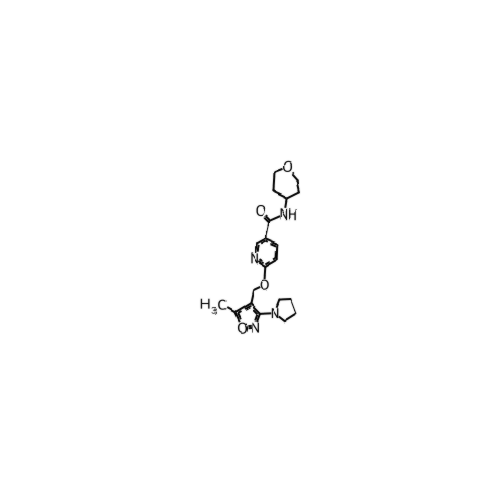 Cc1onc(N2CCCC2)c1COc1ccc(C(=O)NC2CCOCC2)cn1